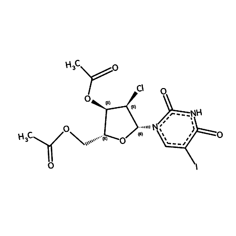 CC(=O)OC[C@H]1O[C@@H](n2cc(I)c(=O)[nH]c2=O)[C@H](Cl)[C@@H]1OC(C)=O